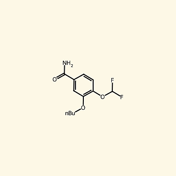 CCCCOc1cc(C(N)=O)ccc1OC(F)F